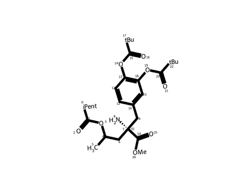 CCCC(C)C(=O)OC(C)C[C@@](N)(Cc1ccc(OC(=O)C(C)(C)C)c(OC(=O)C(C)(C)C)c1)C(=O)OC